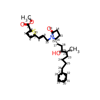 COC(=O)c1ccc(C=CCN2C(=O)CC[C@@H]2CC[C@@H](O)[C@@H](C)CCCCc2ccccc2)s1